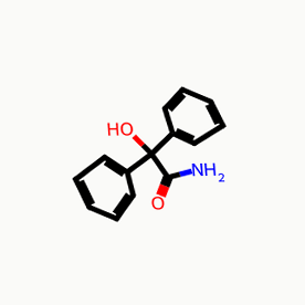 NC(=O)C(O)(c1ccccc1)c1ccccc1